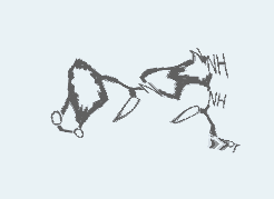 CC(C)CC(=O)Nc1[nH]nc2c1CN(C(=O)Cc1ccc3c(c1)OCO3)C2